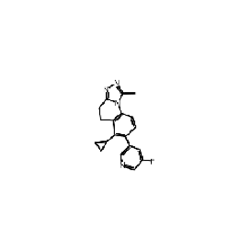 Cc1nnc2n1-c1ccc(-c3cncc(F)c3)c(C3CC3)c1CC2